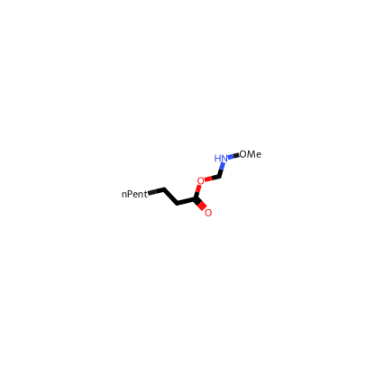 CCCCCCCC(=O)OCNOC